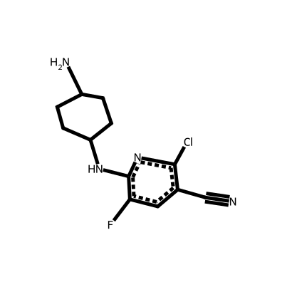 N#Cc1cc(F)c(NC2CCC(N)CC2)nc1Cl